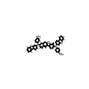 Cc1c(N(c2ccc(C(C)(C)C)cc2)c2ccc3c(c2)oc2ccccc23)ccc2c1oc1cc3cc(N(c4ccc(C(C)(C)C)cc4)c4ccc5c(c4)oc4ccccc45)ccc3cc12